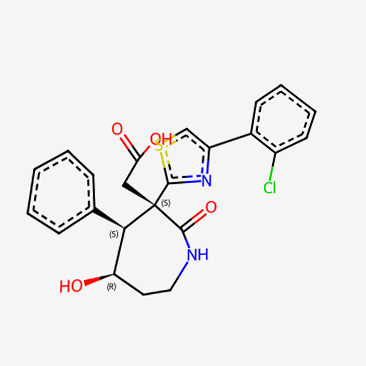 O=C(O)C[C@@]1(c2nc(-c3ccccc3Cl)cs2)C(=O)NCC[C@@H](O)[C@H]1c1ccccc1